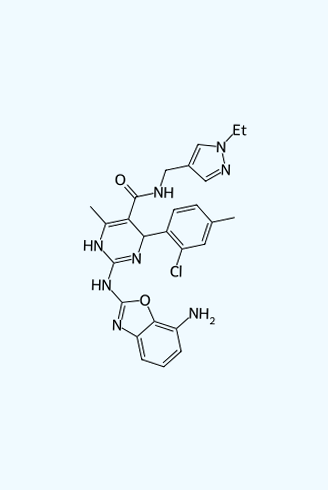 CCn1cc(CNC(=O)C2=C(C)NC(Nc3nc4cccc(N)c4o3)=NC2c2ccc(C)cc2Cl)cn1